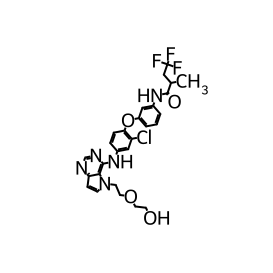 CC(CC(F)(F)F)C(=O)Nc1cccc(Oc2ccc(Nc3ncnc4ccn(CCOCCO)c34)cc2Cl)c1